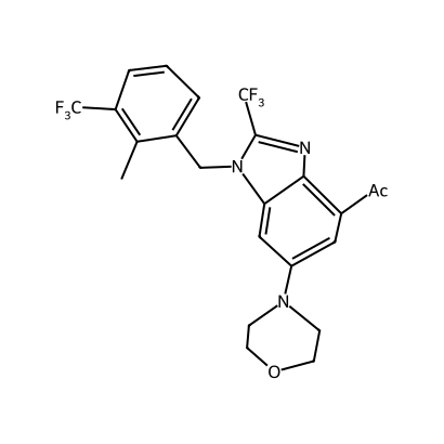 CC(=O)c1cc(N2CCOCC2)cc2c1nc(C(F)(F)F)n2Cc1cccc(C(F)(F)F)c1C